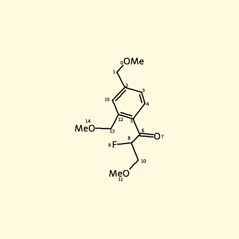 COCc1ccc(C(=O)C(F)COC)c(COC)c1